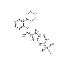 [O-][S+](Cc1ccccc1N1CCCCC1)c1nc2cc(C(F)(F)F)ccc2[nH]1